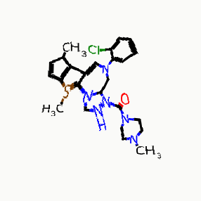 CC1C=CC2=C1C1=CN(c3ccccc3Cl)CC3N(CNN3C(=O)N3CCN(C)CC3)C1=S2C